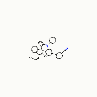 C/C=C\C1=C(C)C2(c3ccccc31)c1ccccc1N(c1ccccc1)c1cc(-c3cccc(C#N)c3)ccc12